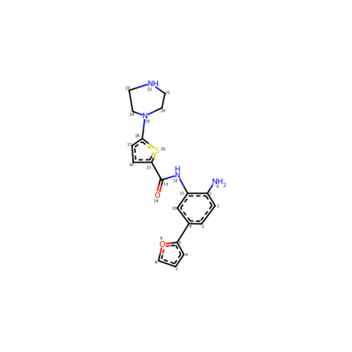 Nc1ccc(-c2ccco2)cc1NC(=O)c1ccc(N2CCNCC2)s1